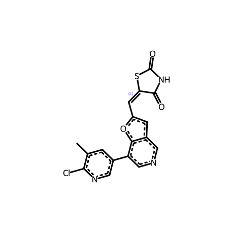 Cc1cc(-c2cncc3cc(/C=C4/SC(=O)NC4=O)oc23)cnc1Cl